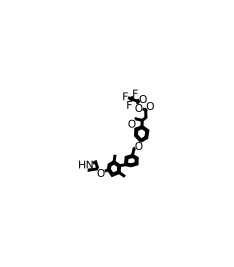 Cc1cc(OC2CNC2)cc(C)c1-c1cccc(COc2ccc3c(c2)OCC3CC(=O)OC(=O)C(F)(F)F)c1